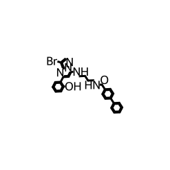 O=C(NCCCCNc1cc(-c2ccccc2O)nc2c(Br)cnn12)c1ccc(-c2ccccc2)cc1